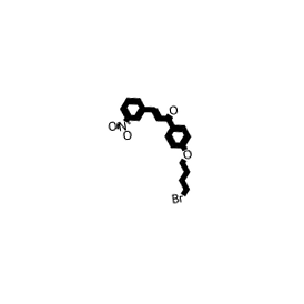 O=C(C=Cc1cccc([N+](=O)[O-])c1)c1ccc(OCCCCBr)cc1